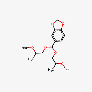 CCCCOC(C)COC(OCC(C)OCCCC)c1ccc2c(c1)OCO2